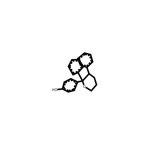 Oc1ccc(C2(c3ccccc3)OCCCC2c2ccccc2)cc1